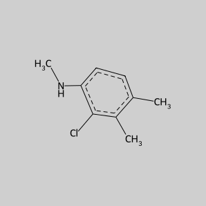 CNc1ccc(C)c(C)c1Cl